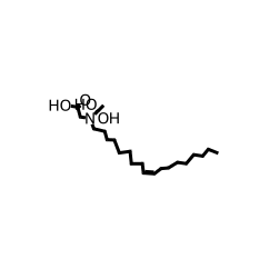 CCCCCCCC/C=C\CCCCCCCCN(CC(=O)O)C(C)(O)O